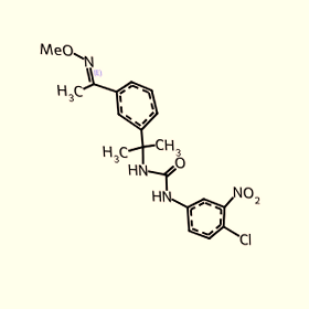 CO/N=C(\C)c1cccc(C(C)(C)NC(=O)Nc2ccc(Cl)c([N+](=O)[O-])c2)c1